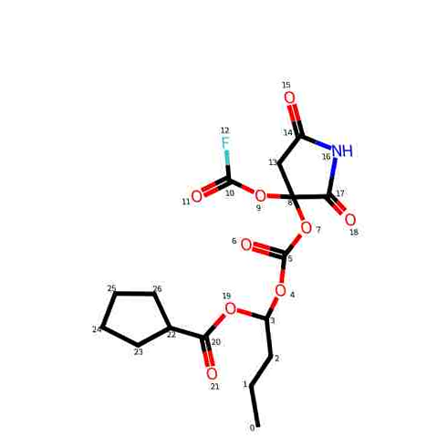 CCCC(OC(=O)OC1(OC(=O)F)CC(=O)NC1=O)OC(=O)C1CCCC1